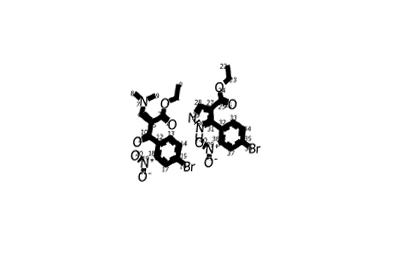 CCOC(=O)C(=CN(C)C)C(=O)c1ccc(Br)cc1[N+](=O)[O-].CCOC(=O)c1cn[nH]c1-c1ccc(Br)cc1[N+](=O)[O-]